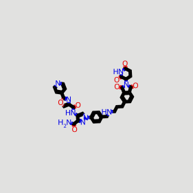 NC(=O)c1nn(-c2ccc(CNCCCc3ccc4c(c3)C(=O)N(C3CCC(=O)NC3=O)C4=O)cc2)cc1NC(=O)c1coc(-c2ccncc2)n1